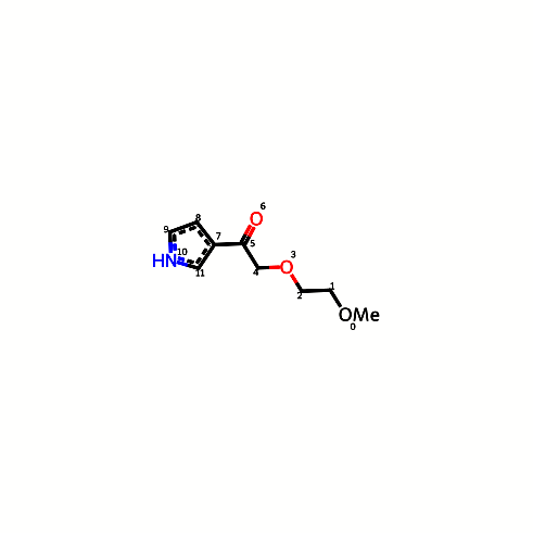 COCCOCC(=O)c1cc[nH]c1